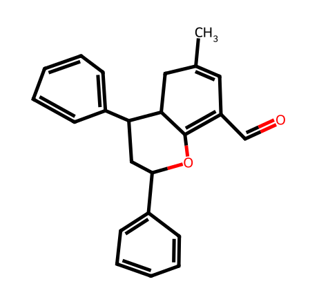 CC1=CC(C=O)=C2OC(c3ccccc3)CC(c3ccccc3)C2C1